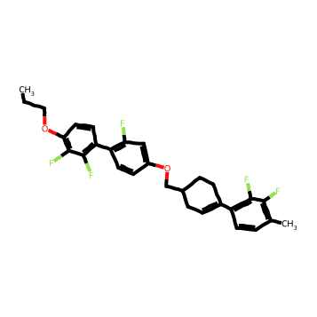 CCCOc1ccc(-c2ccc(OCC3CC=C(c4ccc(C)c(F)c4F)CC3)cc2F)c(F)c1F